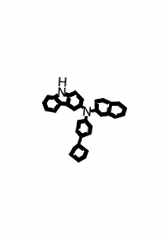 c1ccc(-c2ccc(N(c3ccc4ccccc4c3)c3ccc4[nH]c5ccccc5c4c3)cc2)cc1